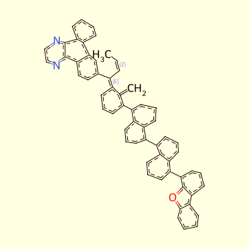 C=c1c(-c2cccc3c(-c4cccc5c(-c6cccc7c6oc6ccccc67)cccc45)cccc23)ccc/c1=C(/C=C\C)c1ccc2c(c1)c1ccccc1c1nccnc21